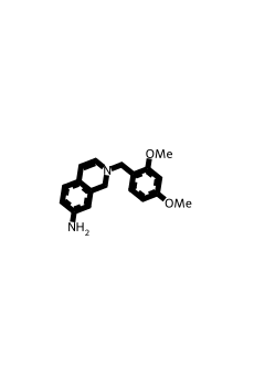 COc1ccc(CN2C=Cc3ccc(N)cc3C2)c(OC)c1